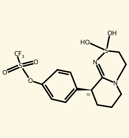 O=S(=O)(Oc1ccc([C@@H]2CCCN3CCS(O)(O)N=C23)cc1)C(F)(F)F